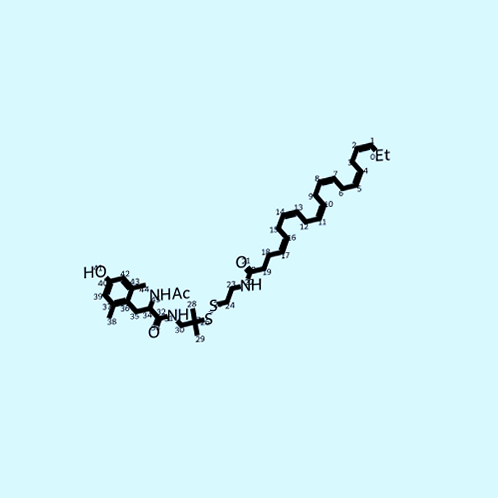 CC/C=C\C/C=C\C/C=C\C/C=C\C/C=C\C/C=C\CCC(=O)NCCSSC(C)(C)CNC(=O)C(Cc1c(C)cc(O)cc1C)NC(C)=O